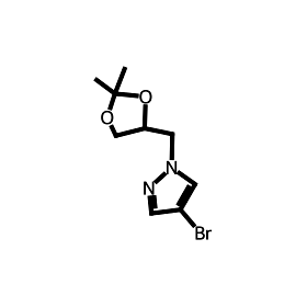 CC1(C)OCC(Cn2cc(Br)cn2)O1